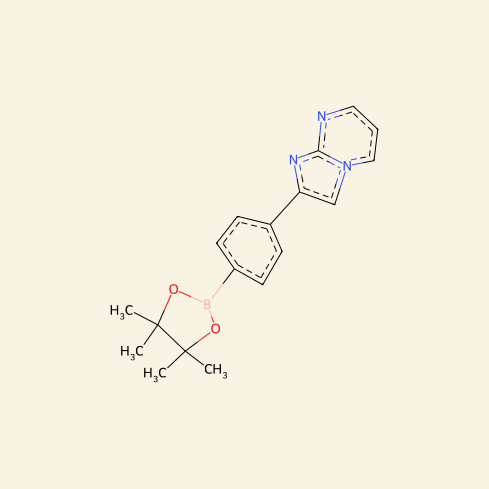 CC1(C)OB(c2ccc(-c3cn4cccnc4n3)cc2)OC1(C)C